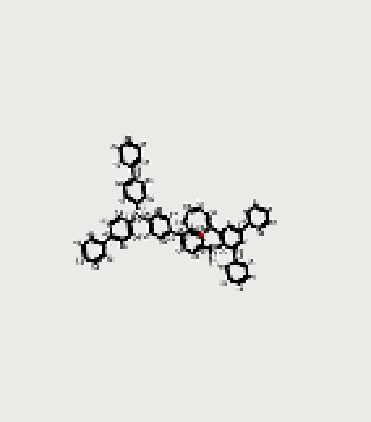 C1#CC(c2cc(-c3ccccc3)cc(-c3ccccc3)c2Nc2ccc(-c3ccc(N(c4ccc(-c5ccccc5)cc4)c4ccc(-c5ccccc5)cc4)cc3)cc2)=CC=CC1